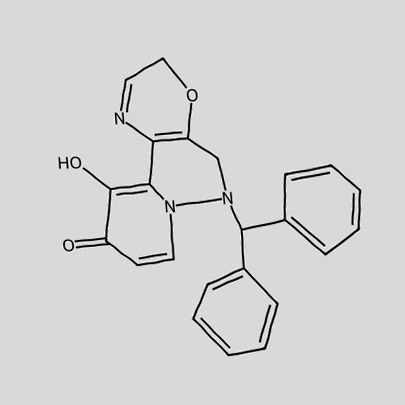 O=c1ccn2c(c1O)C1=C(CN2C(c2ccccc2)c2ccccc2)OCC=N1